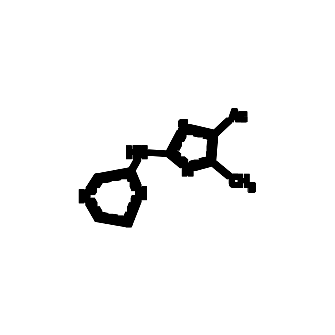 CC(=O)c1sc(Nc2cnccn2)nc1C